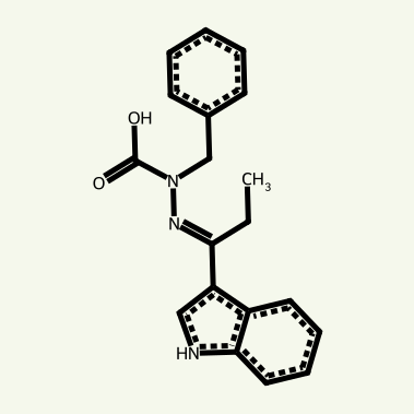 CC/C(=N\N(Cc1ccccc1)C(=O)O)c1c[nH]c2ccccc12